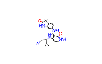 CC1(C)C(=O)Nc2cc(Nc3nn(C(CC#N)C4CC4)c4cc[nH]c(=O)c34)ccc21